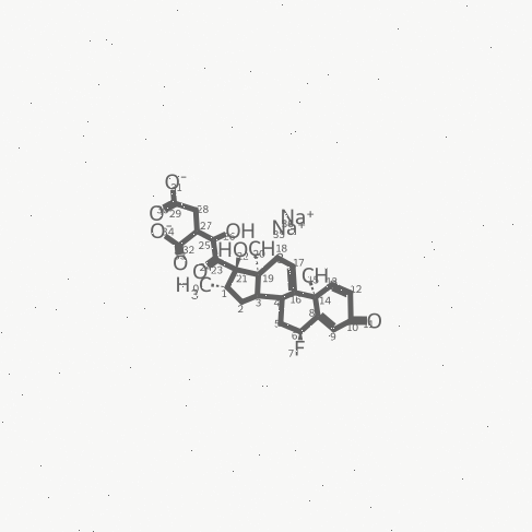 C[C@H]1CC2C3C[C@H](F)C4=CC(=O)C=C[C@]4(C)C3=CC[C@]2(C)[C@@]1(O)C(=O)C(O)C(CC(=O)[O-])C(=O)[O-].[Na+].[Na+]